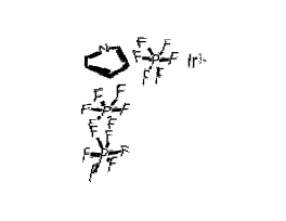 F[P-](F)(F)(F)(F)F.F[P-](F)(F)(F)(F)F.F[P-](F)(F)(F)(F)F.[Ir+3].c1ccncc1